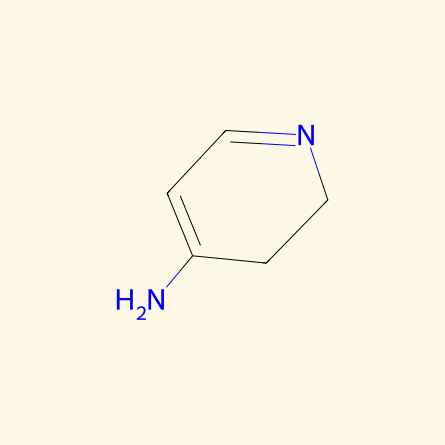 NC1=CC=NCC1